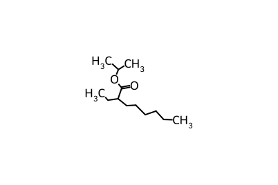 CCCCCCC(CC)C(=O)OC(C)C